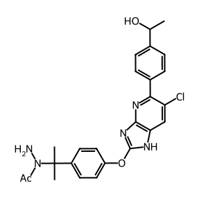 CC(=O)N(N)C(C)(C)c1ccc(Oc2nc3nc(-c4ccc(C(C)O)cc4)c(Cl)cc3[nH]2)cc1